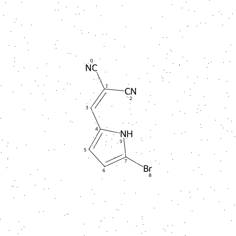 N#CC(C#N)=Cc1ccc(Br)[nH]1